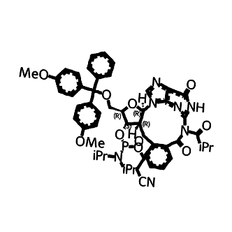 COc1ccc(C(OC[C@H]2O[C@@H]3[C@H](C(=O)c4ccccc4C(=O)N(C(=O)C(C)C)c4nc5c(ncn53)c(=O)[nH]4)[C@@H]2OP(OCCC#N)N(C(C)C)C(C)C)(c2ccccc2)c2ccc(OC)cc2)cc1